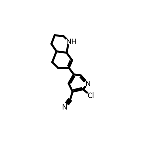 N#Cc1cc(C2=CC3NCCCC3CC2)cnc1Cl